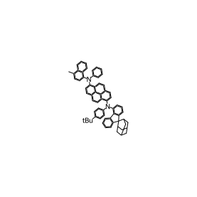 Cc1ccc(N(c2ccccc2)c2ccc3ccc4c(N(c5ccc(C(C)(C)C)cc5)c5cccc6c5-c5ccccc5C65C6CC7CC(C6)CC5C7)ccc5ccc2c3c54)c2ccccc12